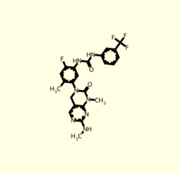 CNc1ncc2c(n1)N(C)C(=O)N(c1cc(NC(=O)Nc3cccc(C(F)(F)F)c3)c(F)cc1C)C2